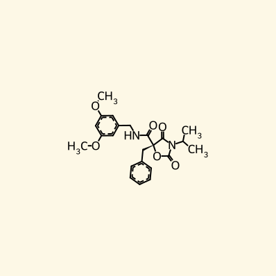 COc1cc(CNC(=O)[C@@]2(Cc3ccccc3)OC(=O)N(C(C)C)C2=O)cc(OC)c1